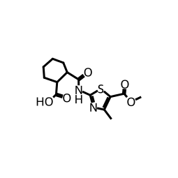 COC(=O)c1sc(NC(=O)C2CCCCC2C(=O)O)nc1C